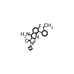 C=Cc1ccccc1-c1c(F)ccc2c(N)c3c(nc12)CN(C1=CC=C1)C3=O